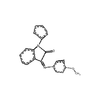 COc1ccc(N=C2C(=O)N(c3ccccc3)c3ccccc32)cc1